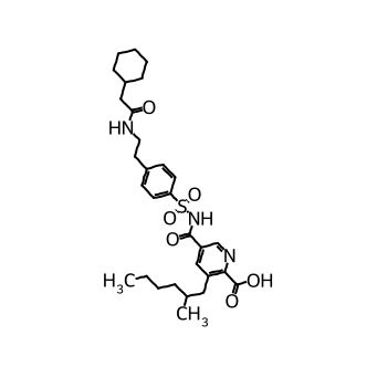 CCCCC(C)Cc1cc(C(=O)NS(=O)(=O)c2ccc(CCNC(=O)CC3CCCCC3)cc2)cnc1C(=O)O